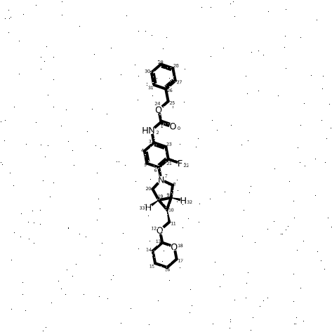 O=C(Nc1ccc(N2C[C@@H]3[C@@H](COC4CCCCO4)[C@@H]3C2)c(F)c1)OCc1ccccc1